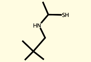 CC(S)NCC(C)(C)C